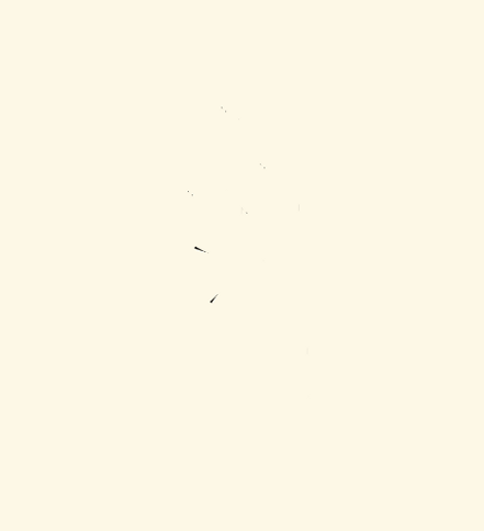 C=P(C)(C)CCC1OC(n2c(I)nc3c(N)ccnc32)[C@H](O)[C@@H]1O